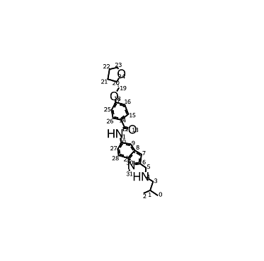 CC(C)CNCc1cc2cc(NC(=O)c3ccc(OC[C@@H]4CCCO4)cc3)ccc2n1C